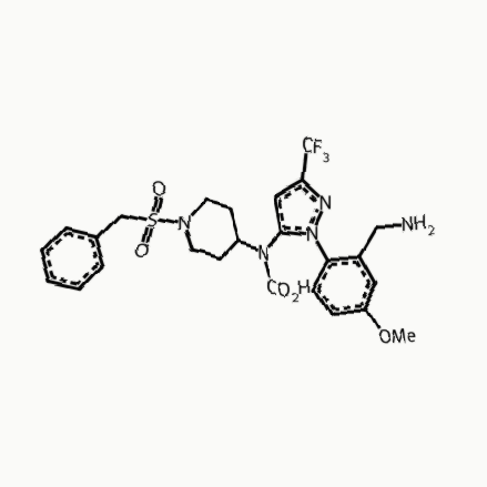 COc1ccc(-n2nc(C(F)(F)F)cc2N(C(=O)O)C2CCN(S(=O)(=O)Cc3ccccc3)CC2)c(CN)c1